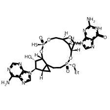 CCO[P@]1(=O)CCC23C[C@@H]2[C@@H](n2cnc4c(N)ncnc42)[C@H](O)[C@@H]3O[P@@](=O)(S)OC[C@H]2O[C@@H](n3cnc4c(=O)[nH]c(N)nc43)[C@H](O1)[C@@H]2OC